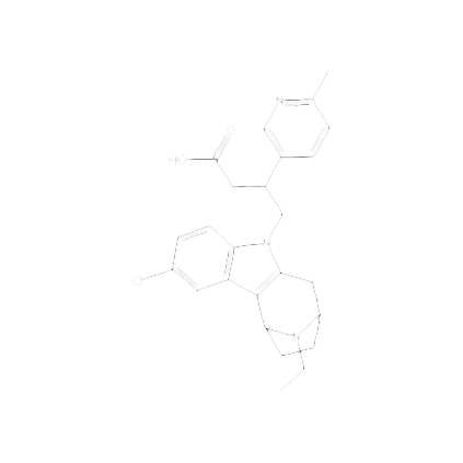 CCN1C2CCC1c1c(n(CC(CC(=O)O)c3ccc(C)nc3)c3ccc(Cl)cc13)C2